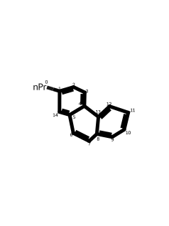 CCCc1ccc2c(ccc3ccccc32)c1